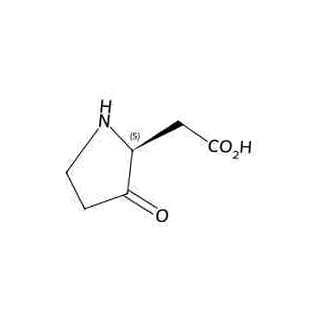 O=C(O)C[C@@H]1NCCC1=O